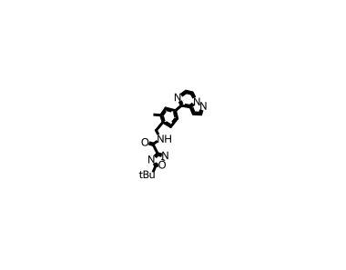 Cc1cc(-c2nccn3nccc23)ccc1CNC(=O)c1noc(C(C)(C)C)n1